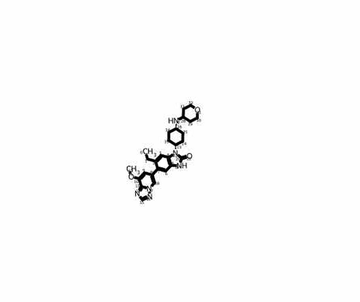 CCc1cc2c(cc1-c1cc(OC)c3ncnn3c1)[nH]c(=O)n2[C@H]1CC[C@@H](NC2CCOCC2)CC1